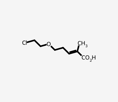 CC(=CCCOCCCl)C(=O)O